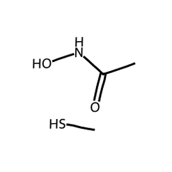 CC(=O)NO.CS